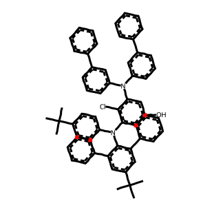 CC(C)(C)c1ccc(N(c2cc(O)cc(N(c3cccc(-c4ccccc4)c3)c3cccc(-c4ccccc4)c3)c2Cl)c2c(-c3ccccc3)cc(C(C)(C)C)cc2-c2ccccc2)cc1